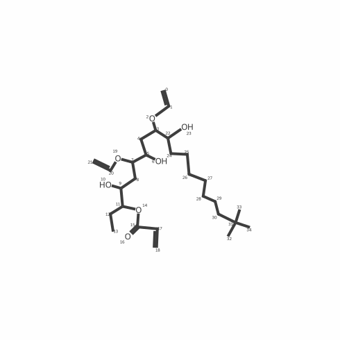 C=COC(CC(O)C(CC(O)C(CC)OC(=O)C=C)OC=C)C(O)CCCCCCCC(C)(C)C